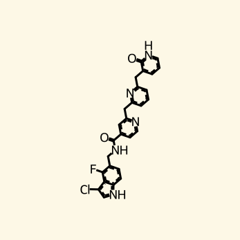 O=C(NCc1ccc2[nH]cc(Cl)c2c1F)c1ccnc(Cc2cccc(Cc3ccc[nH]c3=O)n2)c1